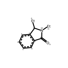 CCC1c2ccccc2C(=O)N1CC